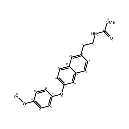 COC(=O)NCCc1ccc2cc(Oc3ccc(OC(C)C)cc3)ccc2c1